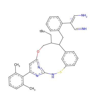 Cc1cccc(C)c1-c1cc2nc(n1)NSc1cccc(c1)C(Cc1ccccc1/C(C=N)=C/N)C(CC(C)(C)C)CO2